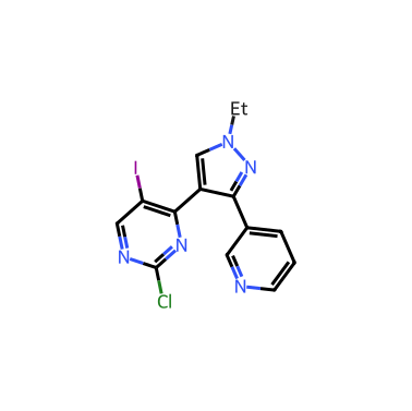 CCn1cc(-c2nc(Cl)ncc2I)c(-c2cccnc2)n1